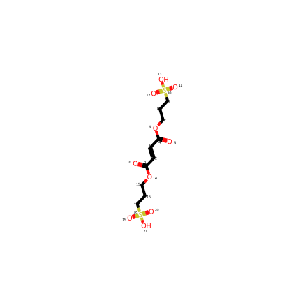 O=C(C=CC(=O)OCCCS(=O)(=O)O)OCCCS(=O)(=O)O